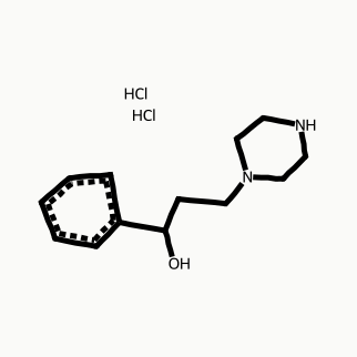 Cl.Cl.OC(CCN1CCNCC1)c1ccccc1